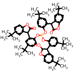 CC(C)(C)c1ccc2c(c1)C(c1cc(C(C)(C)C)ccc1OP(Oc1ccc(C(C)(C)C)cc1C1C(=O)Oc3ccc(C(C)(C)C)cc31)Oc1ccc(C(C)(C)C)cc1C1c3cc(C(C)(C)C)ccc3OC1O)C(=O)O2